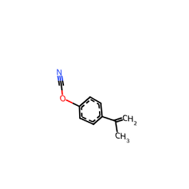 C=C(C)c1ccc(OC#N)cc1